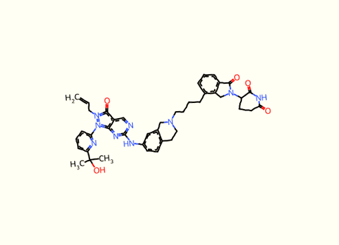 C=CCn1c(=O)c2cnc(Nc3ccc4c(c3)CN(CCCCc3cccc5c3CN(C3CCC(=O)NC3=O)C5=O)CC4)nc2n1-c1cccc(C(C)(C)O)n1